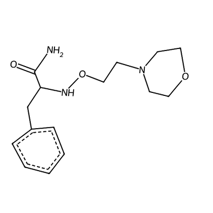 NC(=O)C(Cc1ccccc1)NOCCN1CCOCC1